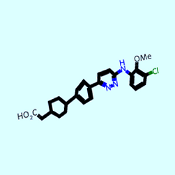 COc1c(Cl)cccc1Nc1ccc(-c2ccc(C3CCC(CC(=O)O)CC3)cc2)nn1